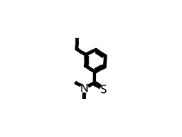 CCc1cccc(C(=S)N(C)C)c1